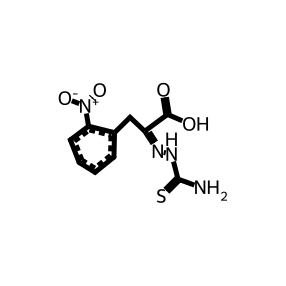 NC(=S)NN=C(Cc1ccccc1[N+](=O)[O-])C(=O)O